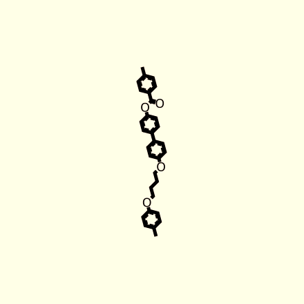 Cc1ccc(OCCCCOc2ccc(-c3ccc(OC(=O)c4ccc(C)cc4)cc3)cc2)cc1